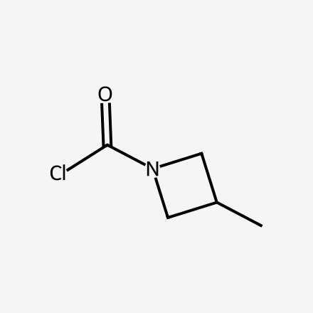 CC1CN(C(=O)Cl)C1